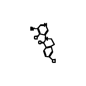 O=C1c2ccc(Cl)cc2CCN1c1cncc(Br)c1Cl